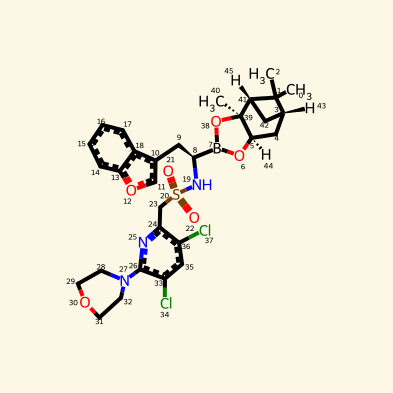 CC1(C)[C@@H]2C[C@H]3OB([C@H](Cc4coc5ccccc45)NS(=O)(=O)Cc4nc(N5CCOCC5)c(Cl)cc4Cl)O[C@@]3(C)[C@H]1C2